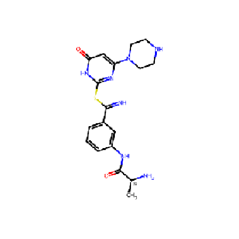 C[C@H](N)C(=O)Nc1cccc(C(=N)Sc2nc(N3CCNCC3)cc(=O)[nH]2)c1